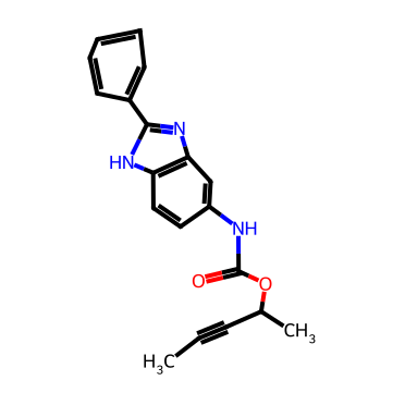 CC#CC(C)OC(=O)Nc1ccc2[nH]c(-c3ccccc3)nc2c1